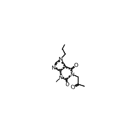 CCCn1cnc2c1c(=O)n(CC(C)=O)c(=O)n2C